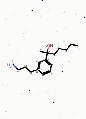 CCCCCC(C)(O)c1cccc(CCCN)c1